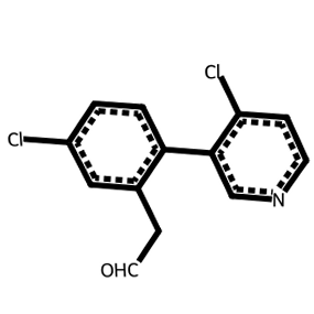 O=CCc1cc(Cl)ccc1-c1cnccc1Cl